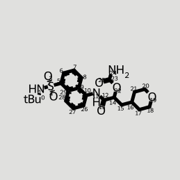 CC(C)(C)NS(=O)(=O)c1cccc2c(NC(=O)C(CC3CCOCC3)OC(N)=O)cccc12